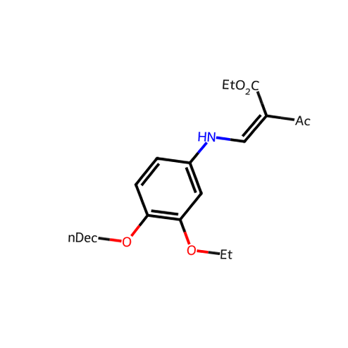 CCCCCCCCCCOc1ccc(NC=C(C(C)=O)C(=O)OCC)cc1OCC